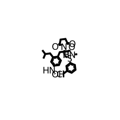 CNC(=O)[C@](CSc1cccc(Cl)c1)(Cc1ccc(NO)cc1CC(C)C)N1C(=O)CCC1=O